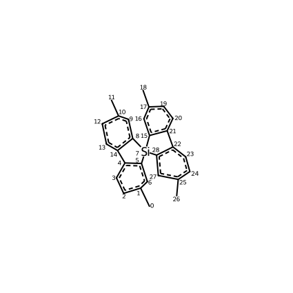 Cc1ccc2c(c1)[Si]1(c3cc(C)ccc3-2)c2cc(C)ccc2-c2ccc(C)cc21